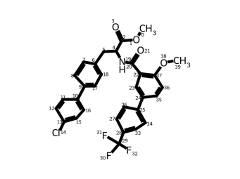 COC(=O)C(Cc1ccc(-c2ccc(Cl)cc2)cc1)NC(=O)c1cc(-c2ccc(C(F)(F)F)cc2)ccc1OC